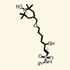 CC(C)NS(=O)(=O)/C=C/C(O)CCCCOCC1CC(C)(C)N(O)C(C)(C)C1